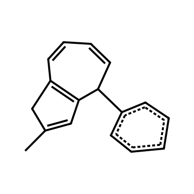 CC1=CC2=C(C=CC=CC2c2ccccc2)C1